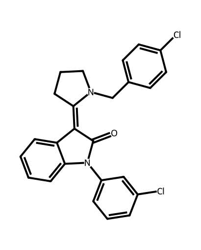 O=C1C(=C2CCCN2Cc2ccc(Cl)cc2)c2ccccc2N1c1cccc(Cl)c1